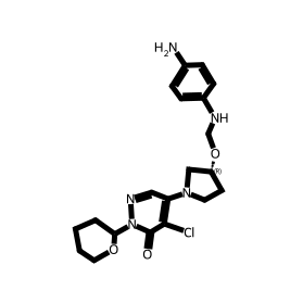 Nc1ccc(NCO[C@@H]2CCN(c3cnn(C4CCCCO4)c(=O)c3Cl)C2)cc1